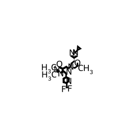 Cc1nc2c(-c3ccc(C(F)F)nc3)nc(N3C[C@@H](C)O[C@@H](c4cnn(C5CC5)c4)C3)cc2c(=O)n1C